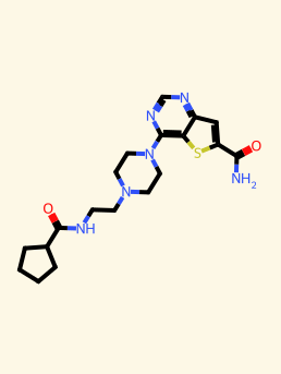 NC(=O)c1cc2ncnc(N3CCN(CCNC(=O)C4CCCC4)CC3)c2s1